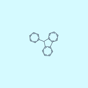 c1ccc(C2c3ccccc3-c3ccccc32)cc1